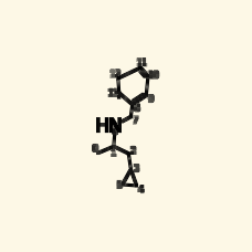 CC(CC1CC1)NCC1=CC=CC[CH]1